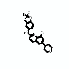 FC1(F)Oc2ccc(Nc3ccc4cc(C5CCOCC5)cc(Cl)c4n3)cc2O1